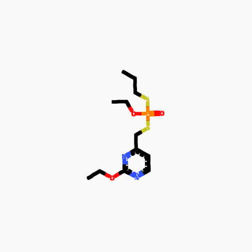 CCCSP(=O)(OCC)SCc1ccnc(OCC)n1